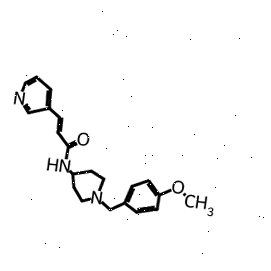 COc1ccc(CN2CCC(NC(=O)/C=C/c3cccnc3)CC2)cc1